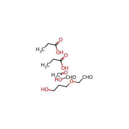 C=O.CCC(=O)O.CCC(=O)O.O=CCOCCCO.O=CO